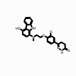 CN(CCOc1ccc(C2=NNC(=O)CC2)cc1Cl)c1ccc(O)c2c1[nH]c1ccccc12